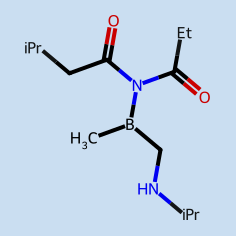 CCC(=O)N(B(C)CNC(C)C)C(=O)CC(C)C